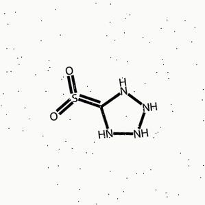 O=S(=O)=C1NNNN1